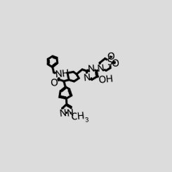 Cn1cc(-c2ccc(C(C(=O)NCc3ccccc3)C3CCC(Cc4ncc(O)c(N5CCS(=O)(=O)CC5)n4)CC3)cc2)cn1